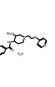 COC1CN(CCSc2ccncc2)CCC1NC(=O)c1ccccc1.O